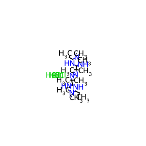 CCC(NC(=N)C(C)(C)/N=N/C(C)(C)C(=N)NC(CC)N(C)C)N(C)C.Cl.Cl.Cl.Cl